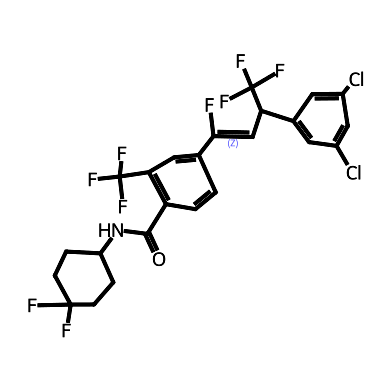 O=C(NC1CCC(F)(F)CC1)c1ccc(/C(F)=C/C(c2cc(Cl)cc(Cl)c2)C(F)(F)F)cc1C(F)(F)F